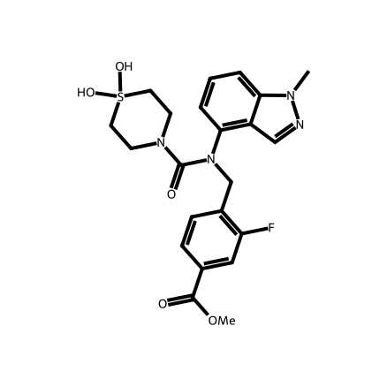 COC(=O)c1ccc(CN(C(=O)N2CCS(O)(O)CC2)c2cccc3c2cnn3C)c(F)c1